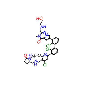 COc1nc(-c2cccc(-c3cccc(-c4cc5c(=O)n(C)c(CNCCO)nn5c4)c3Cl)c2Cl)cc(Cl)c1CNCC1CCC(=O)N1